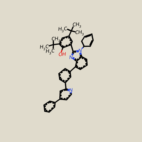 CC(C)(C)c1cc(-c2nc3c(-c4cccc(-c5cc(-c6ccccc6)ccn5)c4)cccc3n2C2C=CC=CC2)c(O)c(C(C)(C)C)c1